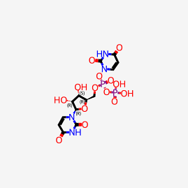 O=c1ccn(OP(=O)(OC[C@H]2O[C@@H](n3ccc(=O)[nH]c3=O)[C@H](O)[C@@H]2O)OP(=O)(O)O)c(=O)[nH]1